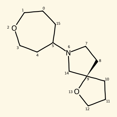 C1COCCC(N2CC[C@]3(CCCO3)C2)C1